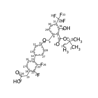 CC(C)(C)OC(=O)c1c(COc2ccc(-c3ccc(CC(=O)O)c(F)c3F)cc2)ccc(C(F)(F)F)c1O